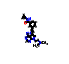 CN(C)CCn1cc(C#Cc2cccc(C(=O)NC3CC3)c2)c2c(N)ncnc21